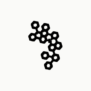 c1ccc(-c2cccc(-c3ccc(N(c4ccc5c(c4)c(-c4ccccc4)c(-c4ccccc4)c4ccccc45)c4c(-c5ccccc5)cccc4-c4ccccc4)cc3)c2-c2ccccc2)cc1